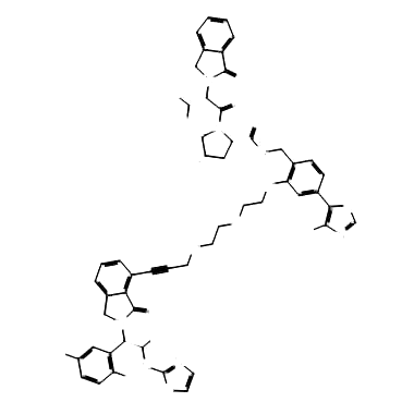 Cc1ncsc1-c1ccc(CNC(=O)[C@@H]2C[C@@H](O)CN2C(=O)[C@H](C(C)C)N2Cc3ccccc3C2=O)c(OCCOCCOCC#Cc2cccc3c2C(=O)N([C@H](c2cc(F)ccc2O)C(O)Nc2nccs2)C3)c1